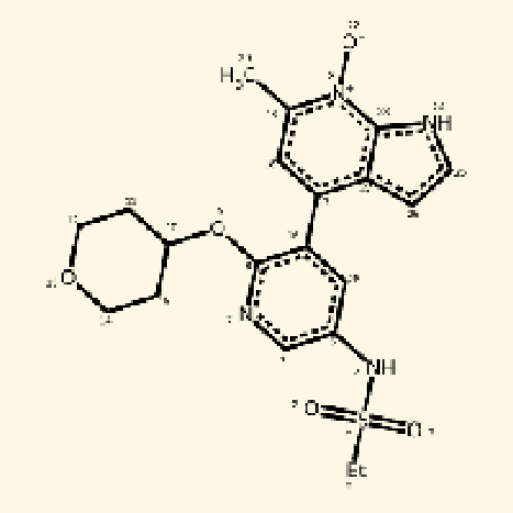 CCS(=O)(=O)Nc1cnc(OC2CCOCC2)c(-c2cc(C)[n+]([O-])c3[nH]ccc23)c1